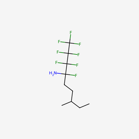 CCC(C)CCC(N)(F)C(F)(F)C(F)(F)C(F)(F)F